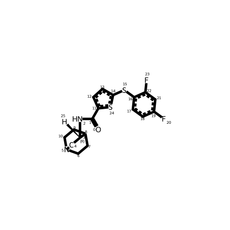 O=C(N[C@H]1CN2CCC1CC2)c1ccc(Sc2ccc(F)cc2F)s1